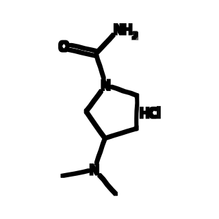 CN(C)C1CCN(C(N)=O)C1.Cl